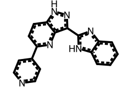 c1ccc2[nH]c(-c3n[nH]c4ccc(-c5ccncc5)nc34)nc2c1